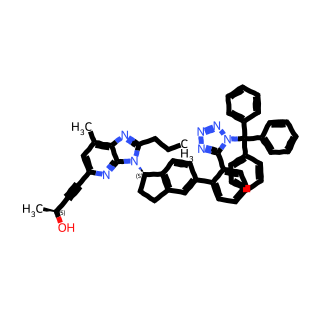 CCCc1nc2c(C)cc(C#C[C@H](C)O)nc2n1[C@H]1CCc2cc(-c3ccccc3-c3nnnn3C(c3ccccc3)(c3ccccc3)c3ccccc3)ccc21